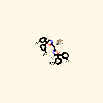 Cc1cccc(C2(c3cccc(C)c3)OC(CC3=N[C@H](C)C(c4cccc(C)c4)(c4cccc(C)c4)O3)=N[C@@H]2C)c1.[Br-].[Br-].[Ni+2]